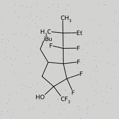 CCC(C)CC1CC(O)(C(F)(F)F)C(F)(F)C1(F)C(F)(F)C(C)(C)CC